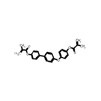 C=C(C)C(=O)Oc1ccc(Oc2ccc(-c3ccc(OC(=O)C(=C)C)cc3)cc2)cc1